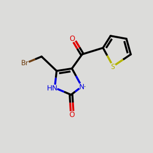 O=C1[N]C(C(=O)c2cccs2)=C(CBr)N1